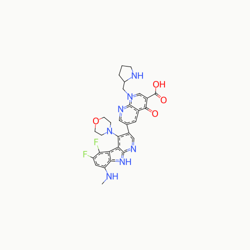 CNc1cc(F)c(F)c2c1[nH]c1ncc(-c3cnc4c(c3)c(=O)c(C(=O)O)cn4CC3CCCN3)c(N3CCOCC3)c12